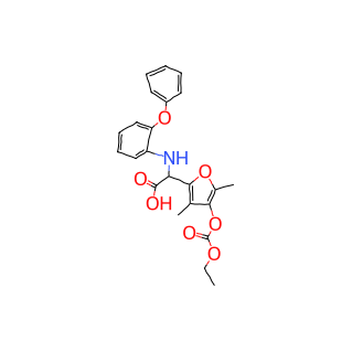 CCOC(=O)Oc1c(C)oc(C(Nc2ccccc2Oc2ccccc2)C(=O)O)c1C